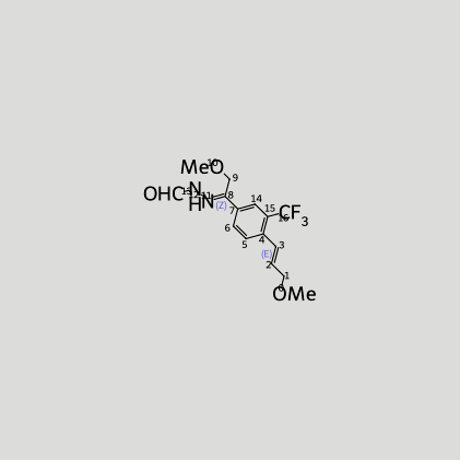 COC/C=C/c1ccc(/C(COC)=N/NC=O)cc1C(F)(F)F